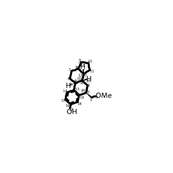 COC[C@@H]1C[C@@H]2[C@H](CCC3[CH]CC[C@@H]32)c2ccc(O)cc21